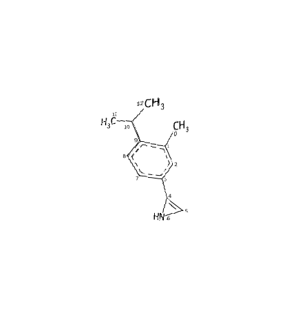 Cc1cc(C2=CN2)ccc1C(C)C